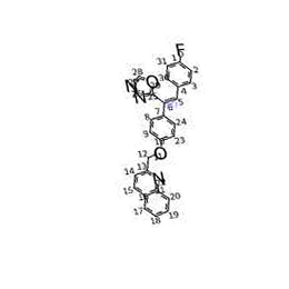 Fc1ccc(/C=C(/c2ccc(OCc3ccc4ccccc4n3)cc2)c2nnco2)cc1